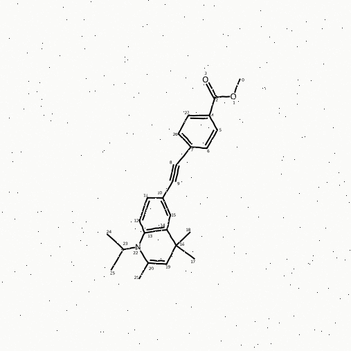 COC(=O)c1ccc(C#Cc2ccc3c(c2)C(C)(C)C=C(C)N3C(C)C)cc1